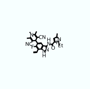 C=Cc1c(F)c(C2C(C#N)=C(C)N(C)C(C)=C2C#N)cc2c(NC(=O)c3cc(C)nn3CC)n[nH]c12